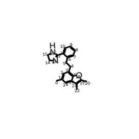 Cc1cc(CCc2ccccc2C2=NCCN2)c2oc(C)c(C)c2c1